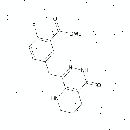 COC(=O)c1cc(Cc2n[nH]c(=O)c3c2NCCC3)ccc1F